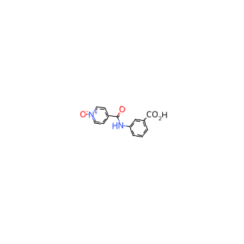 O=C(O)c1cccc(NC(=O)c2cc[n+]([O-])cc2)c1